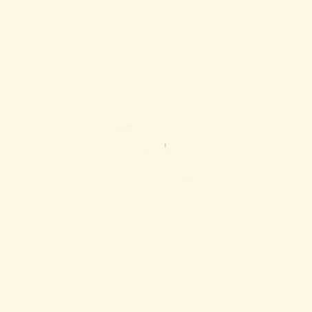 CCCCCCCCCCCCCCCCCCCC.F